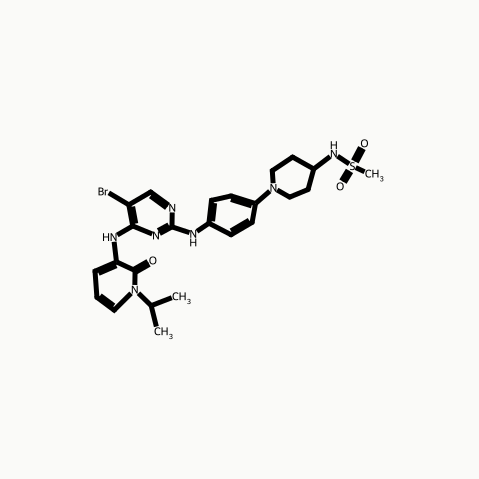 CC(C)n1cccc(Nc2nc(Nc3ccc(N4CCC(NS(C)(=O)=O)CC4)cc3)ncc2Br)c1=O